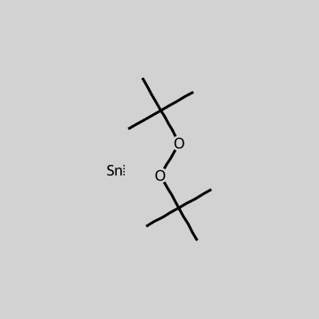 CC(C)(C)OOC(C)(C)C.[Sn]